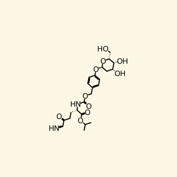 CC(C)OC(=O)[C@H](CCC(=O)C=N)NC(=O)OCc1ccc(O[C@@H]2C[C@@H](O)[C@@H](O)[C@@H](CO)O2)cc1